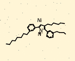 CCCCCCCCc1cccc(C2=CC(CCCCCC)=C(c3cccc(CCCC)c3)[N+]2=[N-])c1.[Ni]